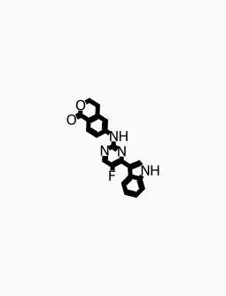 O=C1OCCc2cc(Nc3ncc(F)c(-c4c[nH]c5ccccc45)n3)ccc21